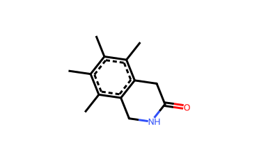 Cc1c(C)c(C)c2c(c1C)CNC(=O)C2